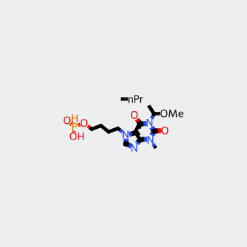 CCCC.COC(C)n1c(=O)c2c(ncn2CCCCO[PH](=O)O)n(C)c1=O